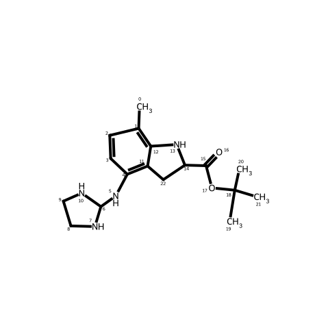 Cc1ccc(NC2NCCN2)c2c1NC(C(=O)OC(C)(C)C)C2